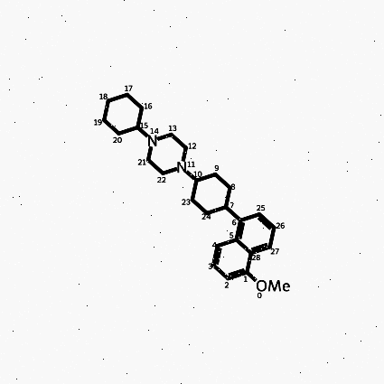 COc1cccc2c(C3CCC(N4CCN(C5CCCCC5)CC4)CC3)cccc12